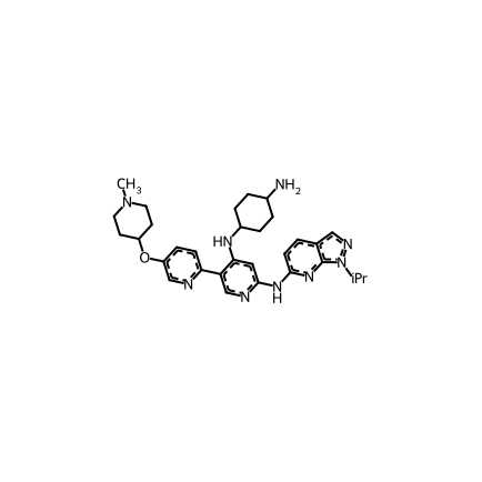 CC(C)n1ncc2ccc(Nc3cc(NC4CCC(N)CC4)c(-c4ccc(OC5CCN(C)CC5)cn4)cn3)nc21